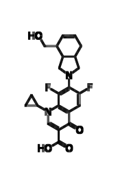 O=C(O)c1cn(C2CC2)c2c(F)c(N3CC4CC=CC(CO)C4C3)c(F)cc2c1=O